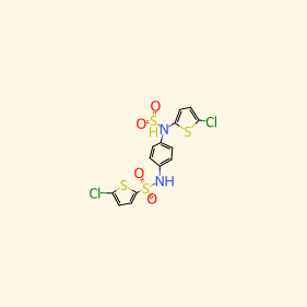 O=[SH](=O)N(c1ccc(NS(=O)(=O)c2ccc(Cl)s2)cc1)c1ccc(Cl)s1